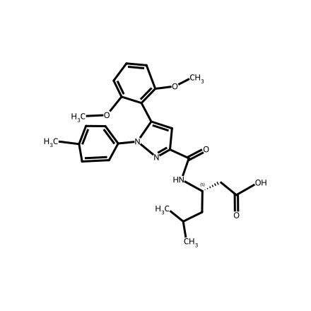 COc1cccc(OC)c1-c1cc(C(=O)N[C@H](CC(=O)O)CC(C)C)nn1-c1ccc(C)cc1